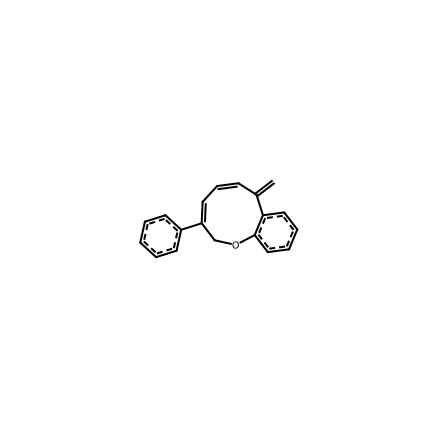 C=C1/C=C\C=C(\c2ccccc2)COc2ccccc21